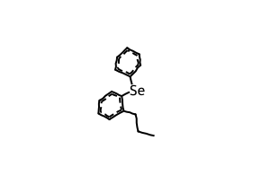 CCCc1ccccc1[Se]c1ccccc1